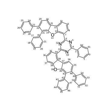 c1ccc(-c2nc(-c3cccc4c3oc3c(-c5ccccc5)c(-c5ccccc5)ccc34)nc(-c3cccc4oc5c(-c6ccccc6)c(-c6ccccc6)ccc5c34)n2)cc1